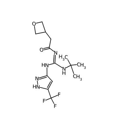 CC(C)(C)N/C(=N/C(=O)CC1COC1)Nc1cc(C(F)(F)F)[nH]n1